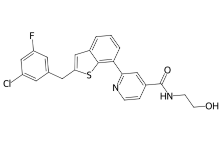 O=C(NCCO)c1ccnc(-c2cccc3cc(Cc4cc(F)cc(Cl)c4)sc23)c1